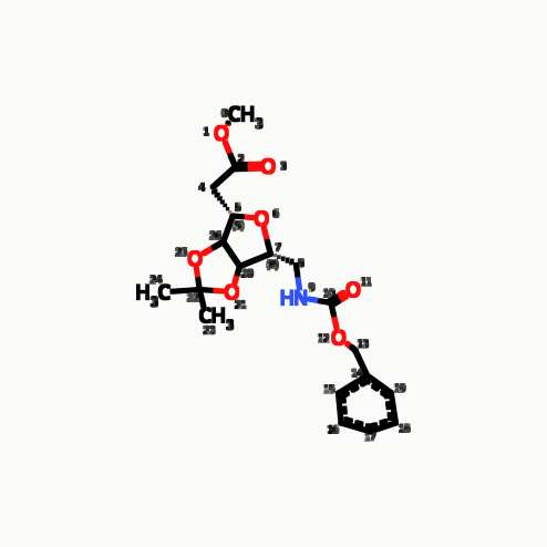 COC(=O)C[C@@H]1O[C@H](CNC(=O)OCc2ccccc2)C2OC(C)(C)OC21